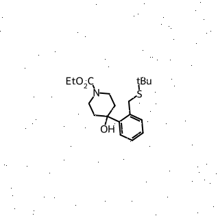 CCOC(=O)N1CCC(O)(c2ccccc2CSC(C)(C)C)CC1